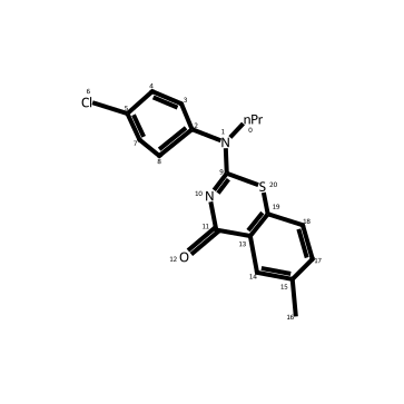 CCCN(c1ccc(Cl)cc1)c1nc(=O)c2cc(C)ccc2s1